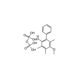 COc1c(C)c(C)c(O)c(-c2ccccc2)c1C.O=P(O)(O)OP(=O)(O)O